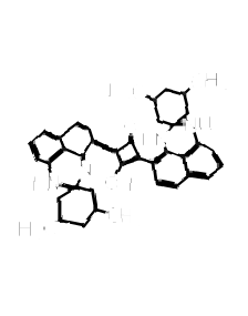 CC1CC(C)CC2(C1)N=c1/c(=C3/C(=O)C(c4ccc5cccc6c5c4NC4(CC(C)CC(C)C4)N6)=C3O)ccc3cccc(c13)N2